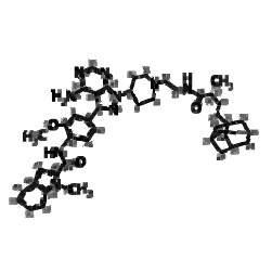 COc1cc(-c2nn(C3CCN(CCNC(=O)[C@H](C)CCC45CC6CC(CC(C6)C4)C5)CC3)c3ncnc(N)c23)ccc1NC(=O)c1cc2ccccc2n1C